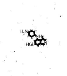 Cc1cncc2cccc(NC3CCC(N)CC3)c12.Cl